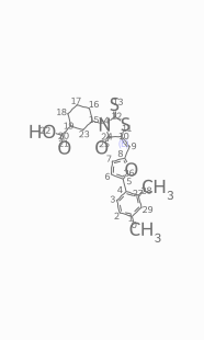 Cc1ccc(-c2ccc(/C=C3/SC(=S)N(C4CCCC(C(=O)O)C4)C3=O)o2)c(C)c1